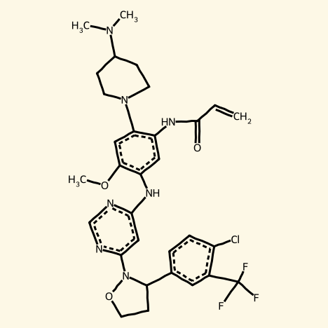 C=CC(=O)Nc1cc(Nc2cc(N3OCCC3c3ccc(Cl)c(C(F)(F)F)c3)ncn2)c(OC)cc1N1CCC(N(C)C)CC1